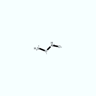 [SiH3][O][AlH][Cl]